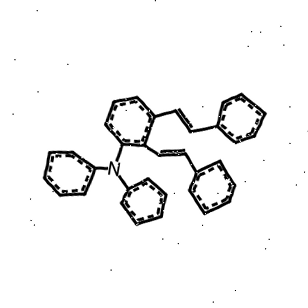 C(=Cc1cccc(N(c2ccccc2)c2ccccc2)c1C=Cc1ccccc1)c1ccccc1